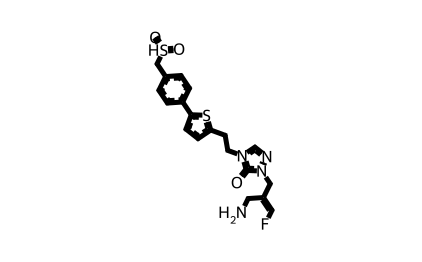 NC/C(=C\F)Cn1ncn(CCc2ccc(-c3ccc(C[SH](=O)=O)cc3)s2)c1=O